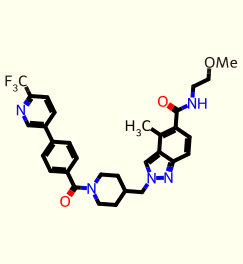 COCCNC(=O)c1ccc2nn(CC3CCN(C(=O)c4ccc(-c5ccc(C(F)(F)F)nc5)cc4)CC3)cc2c1C